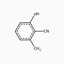 [CH2]c1cccc(CCC)c1C#N